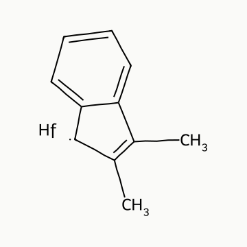 CC1=C(C)c2ccccc2[CH]1.[Hf]